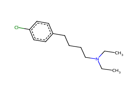 CCN(CC)CCCCc1ccc(Cl)cc1